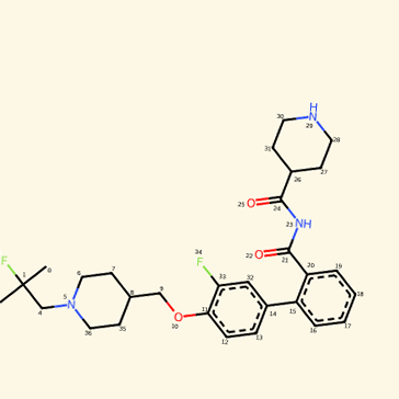 CC(C)(F)CN1CCC(COc2ccc(-c3ccccc3C(=O)NC(=O)C3CCNCC3)cc2F)CC1